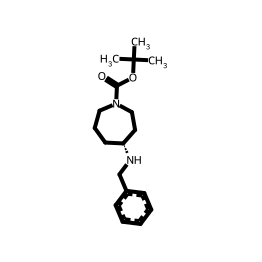 CC(C)(C)OC(=O)N1CCC[C@@H](NCc2ccccc2)CC1